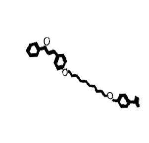 C=C(C)c1ccc(COCCCCCCCCCCOc2ccc(/C=C/C(=O)c3ccccc3)cc2)cc1